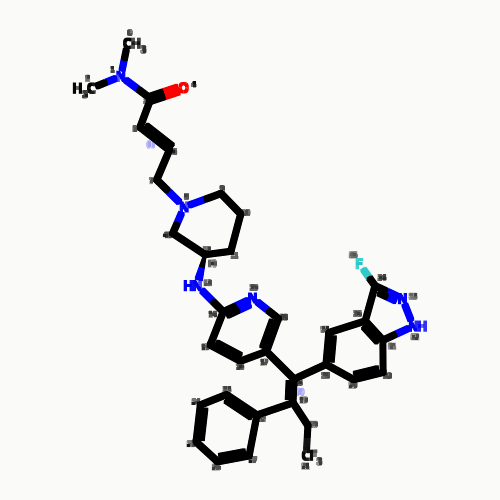 CN(C)C(=O)/C=C/CN1CCC[C@@H](Nc2ccc(/C(=C(/CC(F)(F)F)c3ccccc3)c3ccc4[nH]nc(F)c4c3)cn2)C1